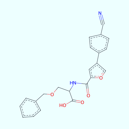 N#Cc1ccc(-c2coc(C(=O)NC(COCc3ccccc3)C(=O)O)c2)cc1